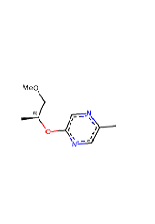 COC[C@H](C)Oc1cnc(C)cn1